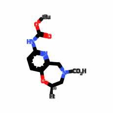 CC[C@@H]1CN(C(=O)O)Cc2nc(NC(=O)OC(C)(C)C)ccc2O1